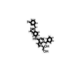 OC[C@@H](O)S1=C2C(=C(Nc3ccc4c(cnn4Cc4cccc(F)c4)c3)N=CN2Cc2ccccc2)C=C1